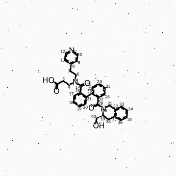 O=C(O)CCN(CCc1ccncc1)C(=O)c1ccccc1-c1ccccc1C(=O)N1Cc2ccccc2C[C@H]1CO